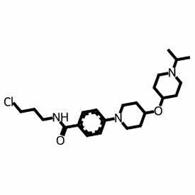 CC(C)N1CCC(OC2CCN(c3ccc(C(=O)NCCCCl)cc3)CC2)CC1